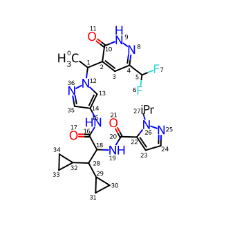 CC(c1cc(C(F)F)n[nH]c1=O)n1cc(NC(=O)C(NC(=O)c2ccnn2C(C)C)C(C2CC2)C2CC2)cn1